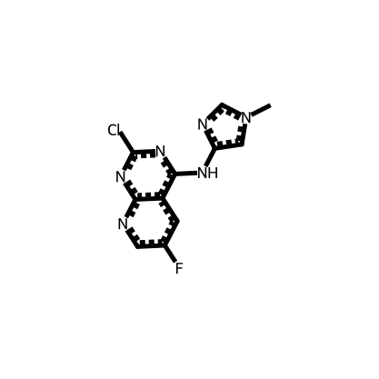 Cn1cnc(Nc2nc(Cl)nc3ncc(F)cc23)c1